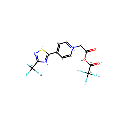 O=C(C[n+]1ccc(-c2nc(C(F)(F)F)ns2)cc1)OC(=O)C(F)(F)F